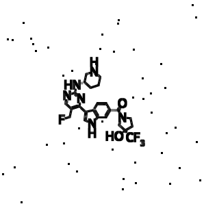 O=C(c1ccc2c(-c3nc(N[C@H]4CCCNC4)ncc3CF)c[nH]c2c1)N1CC[C@@](O)(C(F)(F)F)C1